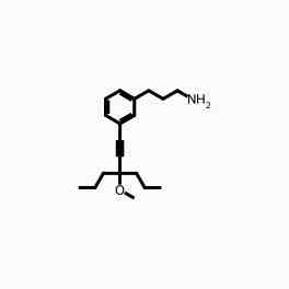 CCCC(C#Cc1cccc(CCCN)c1)(CCC)OC